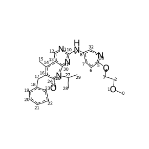 COCCOc1ccc(Nc2ncc3c(C)c(Cc4ccccc4)c(=O)n(C(C)C)c3n2)cn1